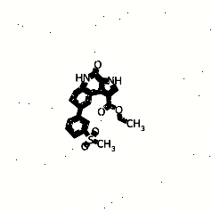 CCOC(=O)c1c[nH]c2c(=O)[nH]c3ccc(-c4cccc(S(C)(=O)=O)c4)cc3c12